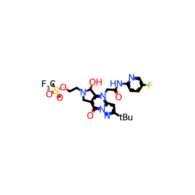 CC(C)(C)c1cc2n(CC(=O)Nc3ccc(F)cn3)c3c(c(=O)n2n1)CN(CCOS(=O)(=O)C(F)(F)F)C3O